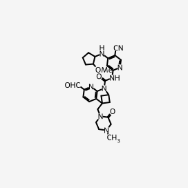 COC1CCCC1Nc1cc(NC(=O)N2c3nc(C=O)ccc3C3(CN4CCN(C)CC4=O)CC2C3)ncc1C#N